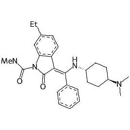 CCc1ccc2c(c1)N(C(=O)NC)C(=O)C2=C(N[C@H]1CC[C@H](N(C)C)CC1)c1ccccc1